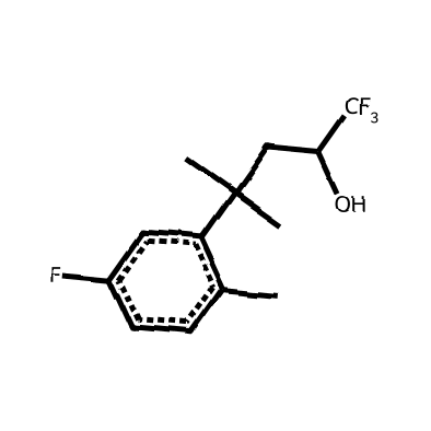 Cc1ccc(F)cc1C(C)(C)CC(O)C(F)(F)F